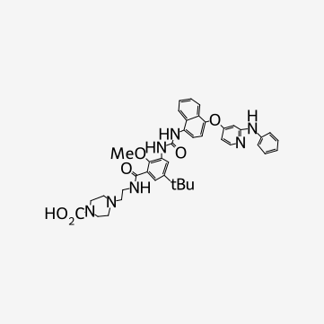 COc1c(NC(=O)Nc2ccc(Oc3ccnc(Nc4ccccc4)c3)c3ccccc23)cc(C(C)(C)C)cc1C(=O)NCCN1CCN(C(=O)O)CC1